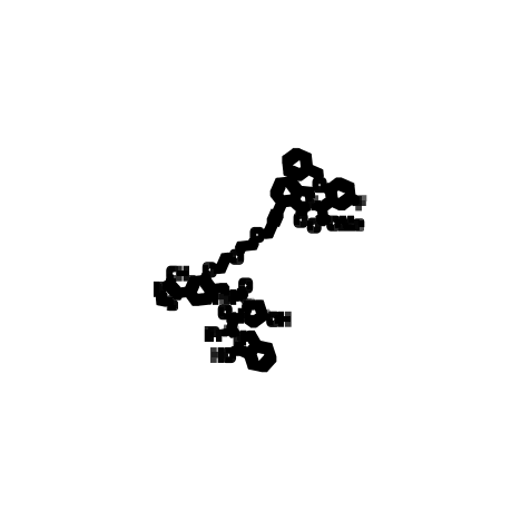 COC(=O)C(c1cc(F)ccc1OCc1ccccc1)N1Cc2cccc(C#CCOCCOCCOc3cc(-c4scnc4C)ccc3CNC(=O)[C@@H]3C[C@@H](O)CN3C(=O)[C@H](C(C)C)N3Cc4ccccc4C3O)c2C1=O